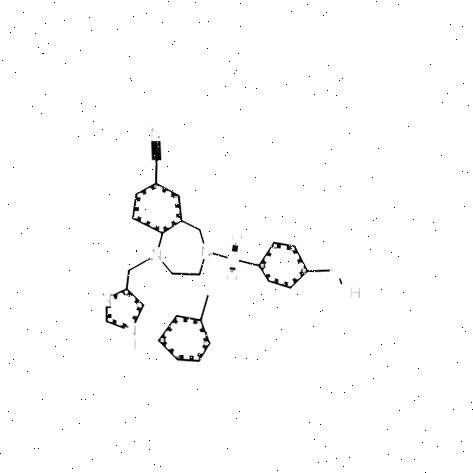 COc1ccc(S(=O)(=O)N2Cc3cc(C#N)ccc3N(Cc3c[nH]cn3)C[C@H]2Cc2ccccc2)cc1